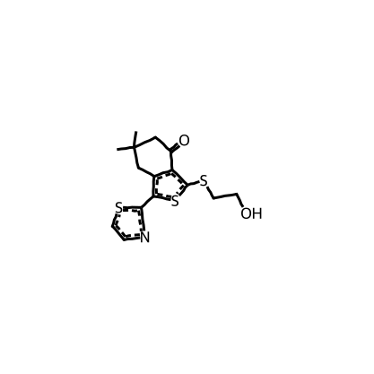 CC1(C)CC(=O)c2c(SCCO)sc(-c3nccs3)c2C1